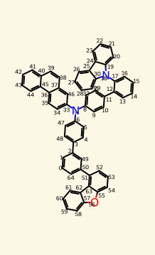 c1cc(-c2ccc(N(c3ccc(-c4ccccc4-n4c5ccccc5c5ccccc54)cc3)c3ccc4c(ccc5ccccc54)c3)cc2)cc(-c2cccc3oc4ccccc4c23)c1